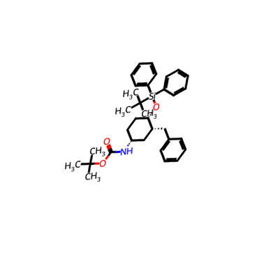 CC(C)(C)OC(=O)N[C@@H]1CC[C@H](O[Si](c2ccccc2)(c2ccccc2)C(C)(C)C)[C@H](Cc2ccccc2)C1